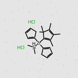 CC1=C(C)C(C)(C)[C]([Zr]([C]2=CC=CC2)([C]2=CC=CC2)[SiH](C)C)=C1C.Cl.Cl